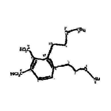 CCCCOCCc1ccc(C(=O)O)c(C(=O)O)c1CCOCCCC